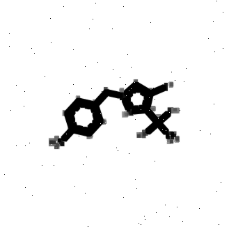 Nc1ccc(Cn2cc(I)c(C(F)(F)C(F)(F)F)n2)cc1